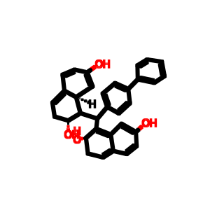 OC1=C[C@@H]2C(=CC[C@@H](O)C2C(C2=c3cc(O)ccc3=CC[C@@H]2O)c2ccc(-c3ccccc3)cc2)C=C1